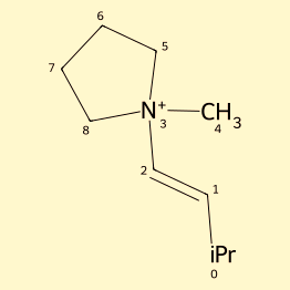 CC(C)/C=C/[N+]1(C)CCCC1